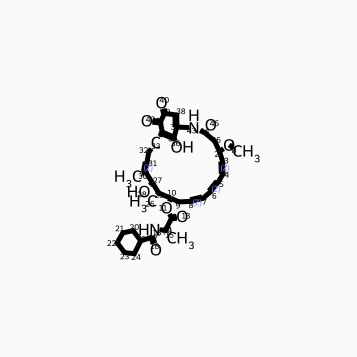 COC1\C=C/C=C\C=C/CC(OC(=O)[C@@H](C)NC(=O)C2CCCCC2)C(C)C(O)/C(C)=C\CCC2=C(O)C(=CC(=O)C2=O)NC(=O)C1